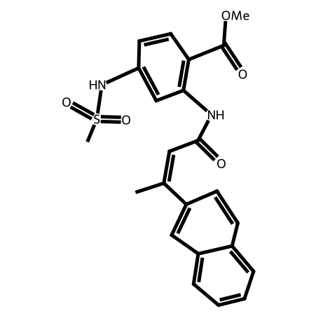 COC(=O)c1ccc(NS(C)(=O)=O)cc1NC(=O)/C=C(/C)c1ccc2ccccc2c1